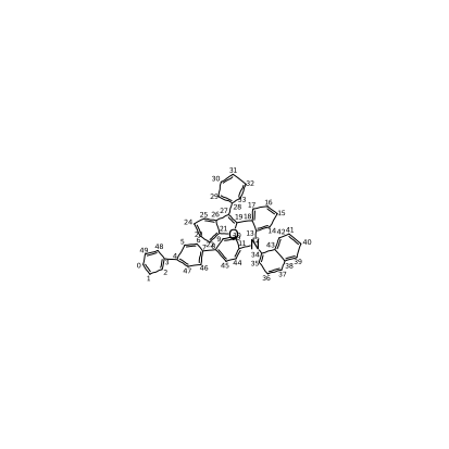 c1ccc(-c2ccc(-c3ccc(N(c4ccccc4-c4oc5ccccc5c4-c4ccccc4)c4cccc5ccccc45)cc3)cc2)cc1